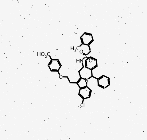 Cc1ccccc1CS(=O)(=O)NCCc1c(CCOc2ccc(C(=O)O)cc2)c2cc(Cl)ccc2n1C(c1ccccc1)c1ccccc1